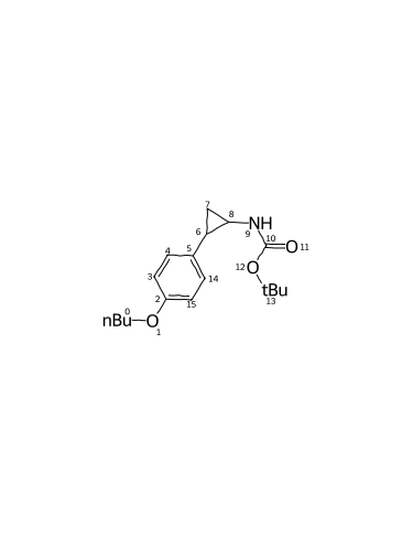 CCCCOc1ccc(C2CC2NC(=O)OC(C)(C)C)cc1